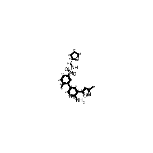 Cc1cc(-c2cc(-c3cc(S(=O)(=O)NC[C@@H]4CCCO4)ccc3C)cnc2N)on1